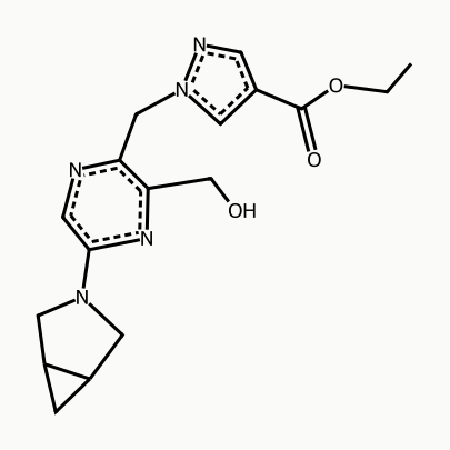 CCOC(=O)c1cnn(Cc2ncc(N3CC4CC4C3)nc2CO)c1